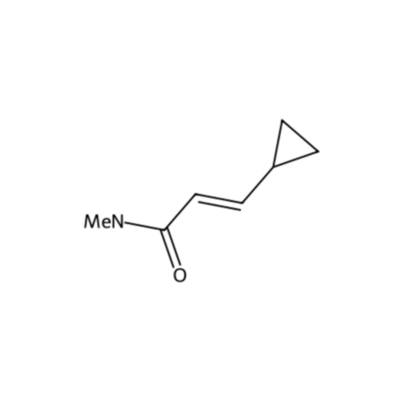 CNC(=O)C=CC1CC1